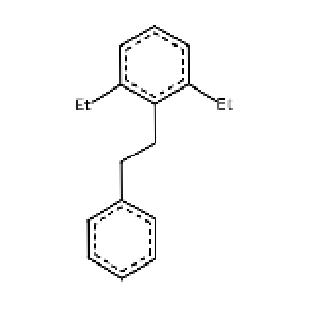 CCc1cccc(CC)c1CCc1cc[c]cc1